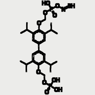 B=NOP(=O)(O)OCOc1c(C(C)C)cc(-c2cc(C(C)C)c(OCOP(=O)(O)O)c(C(C)C)c2)cc1C(C)C